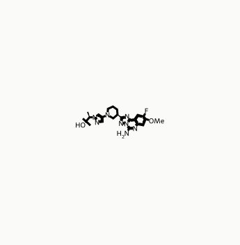 COc1cc2nc(N)n3nc([C@@H]4CCCN(c5cnn([C@H](C)C(C)(C)O)c5)C4)nc3c2cc1F